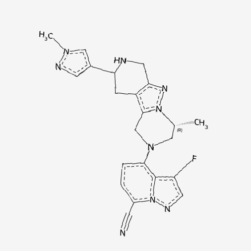 C[C@@H]1CN(c2ccc(C#N)n3ncc(F)c23)Cc2c3c(nn21)CNC(c1cnn(C)c1)C3